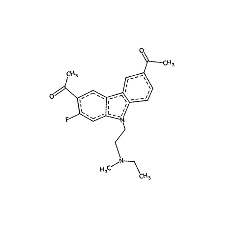 CCN(C)CCn1c2ccc(C(C)=O)cc2c2cc(C(C)=O)c(F)cc21